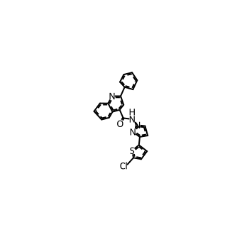 O=C(Nn1ccc(-c2ccc(Cl)s2)n1)c1cc(-c2ccccc2)nc2ccccc12